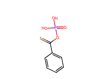 O=P(O)(O)OC(=S)c1ccccc1